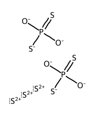 [O-]P([O-])(=S)[S-].[O-]P([O-])(=S)[S-].[S+2].[S+2].[S+2]